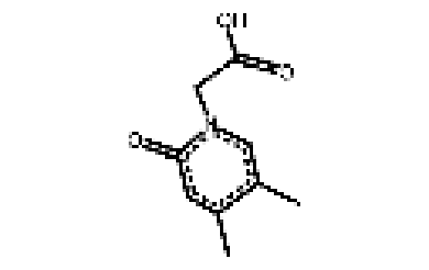 Cc1cc(=O)n(CC(=O)O)cc1C